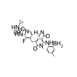 Bc1cc(C)ccc1Nc1c(C(N)=O)cc(Cc2ccnc(NS(=O)(=O)NC3CC3)c2F)c(=O)n1C